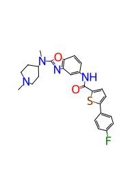 CN1CCC(N(C)c2nc3cc(NC(=O)c4ccc(-c5ccc(F)cc5)s4)ccc3o2)CC1